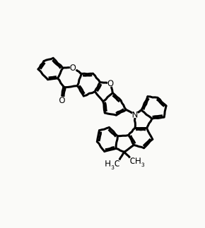 CC1(C)c2ccccc2-c2c1ccc1c3ccccc3n(-c3ccc4c(c3)oc3cc5oc6ccccc6c(=O)c5cc34)c21